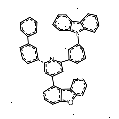 c1ccc(-c2cccc(-c3cc(-c4cccc5oc6ccccc6c45)cc(-c4cccc(-n5c6ccccc6c6ccccc65)c4)n3)c2)cc1